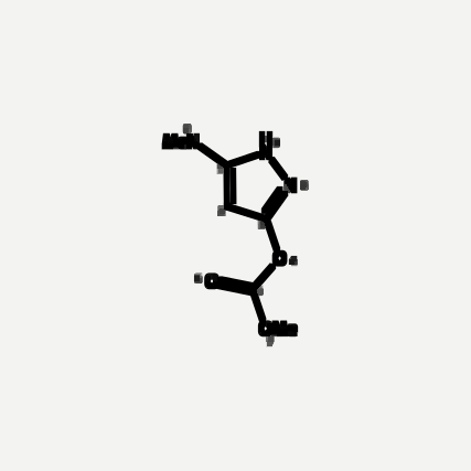 CNc1cc(OC(=O)OC)n[nH]1